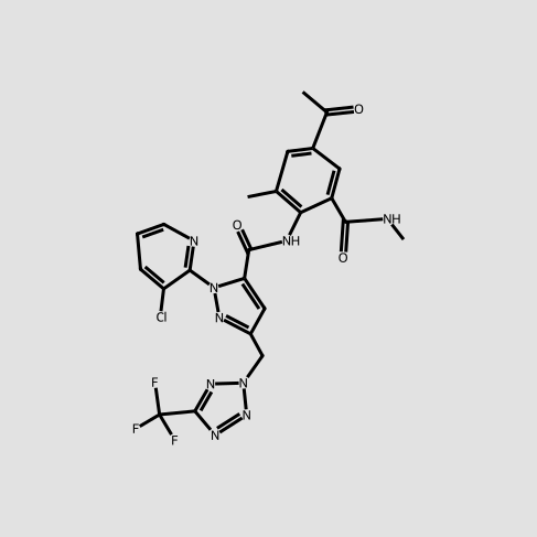 CNC(=O)c1cc(C(C)=O)cc(C)c1NC(=O)c1cc(Cn2nnc(C(F)(F)F)n2)nn1-c1ncccc1Cl